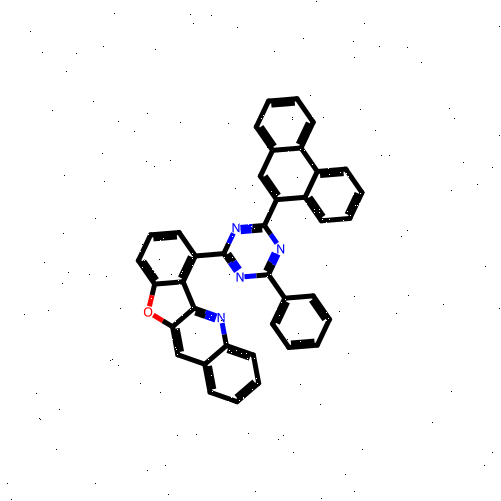 c1ccc(-c2nc(-c3cc4ccccc4c4ccccc34)nc(-c3cccc4oc5cc6ccccc6nc5c34)n2)cc1